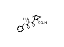 NN(C(=O)Cc1ccccc1)C(=O)c1nc[nH]c1C(=O)O